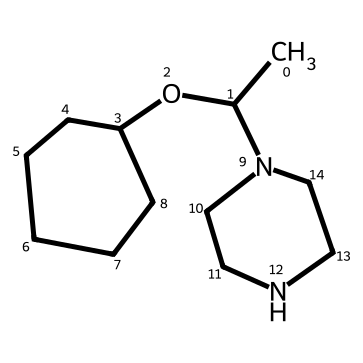 CC(OC1CCCCC1)N1CCNCC1